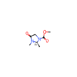 COC(=O)N1CC(=O)N(C)[C@@H]1C